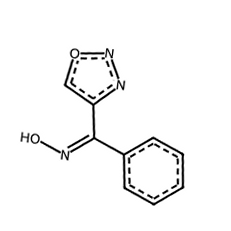 ON=C(c1ccccc1)c1conn1